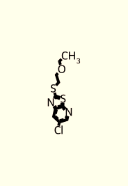 CCOCCSc1nc2cc(Cl)cnc2s1